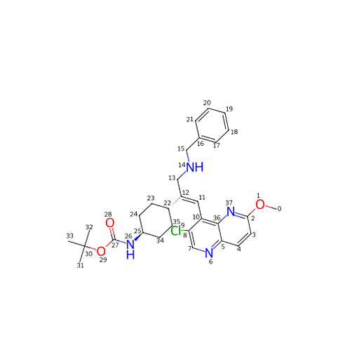 COc1ccc2ncc(Cl)c(/C=C(/CNCc3ccccc3)[C@H]3CC[C@H](NC(=O)OC(C)(C)C)CC3)c2n1